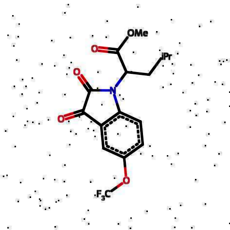 COC(=O)C(CC(C)C)N1C(=O)C(=O)c2cc(OC(F)(F)F)ccc21